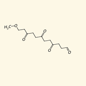 COCCC(=O)CCC(=O)CCC(=O)CCC=O